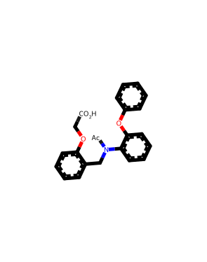 CC(=O)N(Cc1ccccc1OCC(=O)O)c1ccccc1Oc1ccccc1